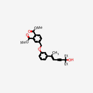 CCC(O)(C#C/C=C(\C)c1cccc(OCc2ccc(C(=O)OC)c(C(=O)OC)c2)c1)CC